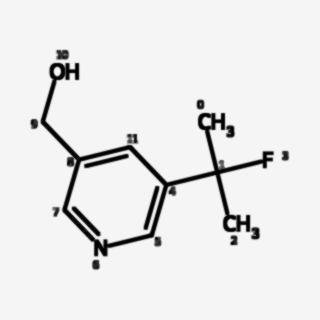 CC(C)(F)c1cncc(CO)c1